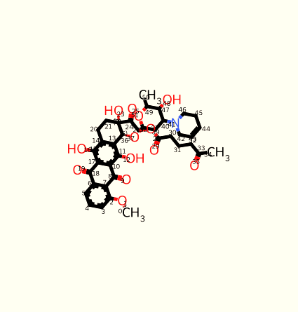 COc1cccc2c1C(=O)c1c(O)c3c(c(O)c1C2=O)CC[C@](O)(C(=O)COC(=O)CCCC(C)=O)[C@H]3OC1CC(N2CC=CCC2)C(O)C(C)O1